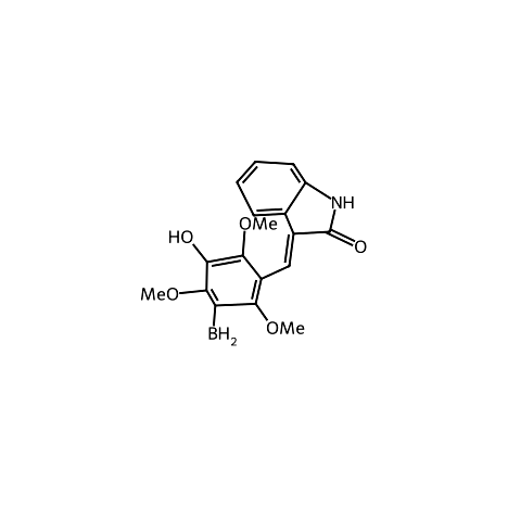 Bc1c(OC)c(O)c(OC)c(/C=C2/C(=O)Nc3ccccc32)c1OC